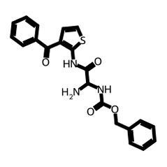 NC(NC(=O)OCc1ccccc1)C(=O)Nc1sccc1C(=O)c1ccccc1